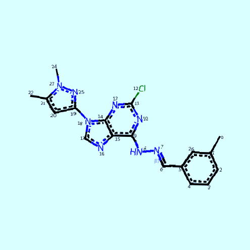 Cc1cccc(/C=N/Nc2nc(Cl)nc3c2ncn3-c2cc(C)n(C)n2)c1